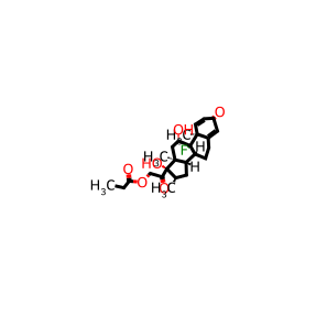 CCC(=O)OCC(=O)[C@@]1(O)[C@H](C)C[C@H]2[C@@H]3CCC4=CC(=O)C=C[C@]4(C)[C@@]3(F)[C@@H](O)C[C@@]21C